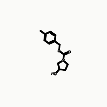 Cc1ccc(COC(=O)N2CCC(O)C2)cc1